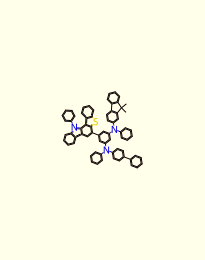 CC1(C)c2ccccc2-c2ccc(N(c3ccccc3)c3cc(-c4cc5c6ccccc6n(-c6ccccc6)c5c5c4sc4ccccc45)cc(N(c4ccccc4)c4ccc(-c5ccccc5)cc4)c3)cc21